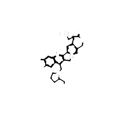 CC[C@@]1(O)C(=O)OCc2c1cc1n(c2=O)Cc2c-1nc1cc(F)c(C)cc1c2CN1CCCC1CO